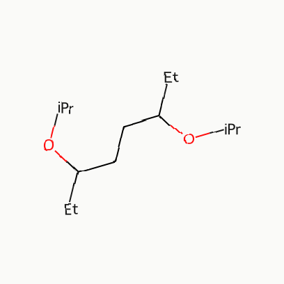 [CH2]CC(CCC(CC)OC(C)C)OC(C)C